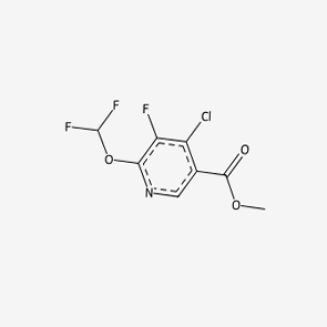 COC(=O)c1cnc(OC(F)F)c(F)c1Cl